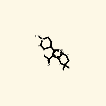 CC(=O)c1c(C2CCN(S)CC2)sc2c1CC(C)(C)CC2